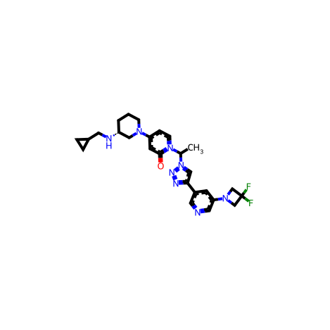 CC(n1cc(-c2cncc(N3CC(F)(F)C3)c2)nn1)n1ccc(N2CCC[C@@H](NCC3CC3)C2)cc1=O